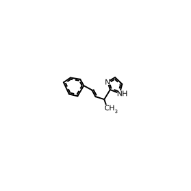 CC(C=Cc1ccccc1)c1ncc[nH]1